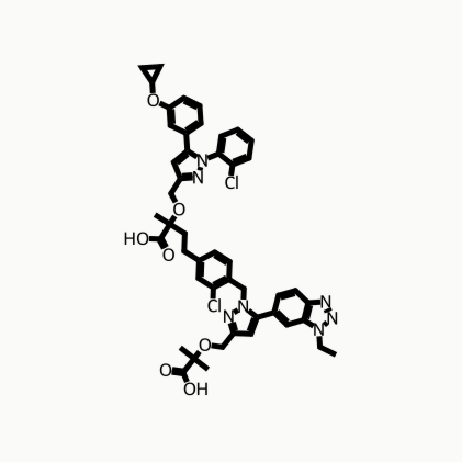 CCn1nnc2ccc(-c3cc(COC(C)(C)C(=O)O)nn3Cc3ccc(CCC(C)(OCc4cc(-c5cccc(OC6CC6)c5)n(-c5ccccc5Cl)n4)C(=O)O)cc3Cl)cc21